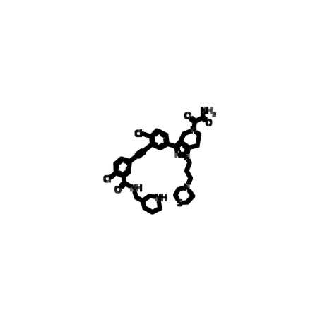 NC(=O)C(=O)N1CCc2c(c(-c3ccc(Cl)c(C#Cc4ccc(Cl)c(C(=O)NCC5CCCNC5)c4)c3)nn2CCCN2CCSCC2)C1